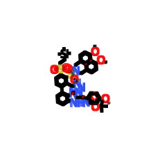 COc1ccc(CN(Cc2ccc(OC)cc2)S(=O)(=O)c2c(S(=O)(=O)CC[Si](C)(C)C)ccc(-c3cccc4[nH]c(CNC(=O)OC(C)(C)C)nc34)c2-c2nnn(Cc3ccc(OC)cc3)n2)cc1